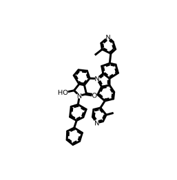 Cc1cnccc1-c1ccc2c3ccc(-c4ccncc4C)cc3n(-c3cccc4c3C(=O)N(c3ccc(-c5ccccc5)cc3)C4O)c2c1